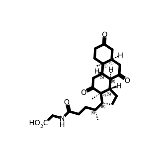 C[C@H](CCC(=O)NCC(=O)O)[C@H]1CC[C@H]2[C@@H]3C(=O)C[C@@H]4CC(=O)CC[C@]4(C)[C@H]3CC(=O)[C@]12C